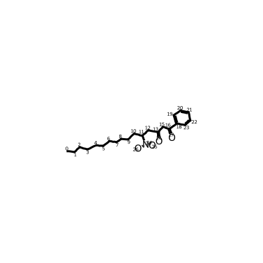 CCCCCCCCCCCC(CC(=O)CC(=O)c1ccccc1)[N+](=O)[O-]